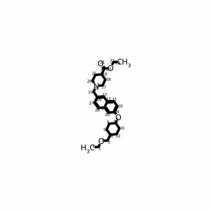 CCOCC1CCC(Oc2ccc3cc(CN4CCC(C(=O)OCC)CC4)ccc3c2)CC1